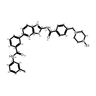 CCN1CCN(Cc2ccc(C(=O)Nc3nc4ccc(-c5cccc(C(=O)Nc6cccc(C)c6)c5)nc4s3)cc2)CC1